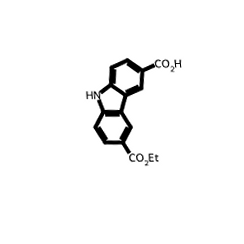 CCOC(=O)c1ccc2[nH]c3ccc(C(=O)O)cc3c2c1